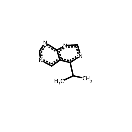 CC(C)c1ncnc2ncncc12